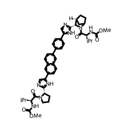 COC(=O)N[C@H](C(=O)N1CCC[C@H]1c1ncc(-c2ccc3cc(-c4ccc(-c5cnc([C@@H]6[C@H]7CCC(C7)N6C(=O)[C@@H](NC(=O)OC)C(C)C)[nH]5)cc4)ccc3c2)[nH]1)C(C)C